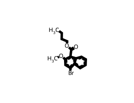 CCCCOC(=O)c1c(OC)cc(Br)c2ccccc12